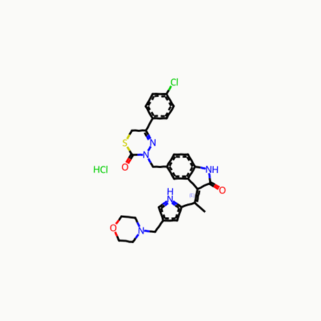 C/C(=C1\C(=O)Nc2ccc(CN3N=C(c4ccc(Cl)cc4)CSC3=O)cc21)c1cc(CN2CCOCC2)c[nH]1.Cl